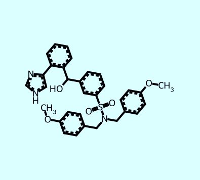 COc1ccc(CN(Cc2ccc(OC)cc2)S(=O)(=O)c2cccc(C(O)c3ccccc3-c3c[nH]cn3)c2)cc1